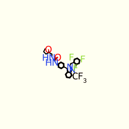 O=C(NCC1CCCO1)Nc1ccc(-c2c3cccc(C(F)(F)F)c3nn2Cc2c(F)cc(F)cc2F)cc1